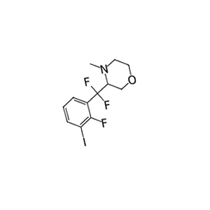 CN1CCOCC1C(F)(F)c1cccc(I)c1F